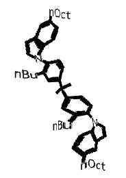 CCCCCCCCc1ccc2c(ccn2-c2ccc(C(C)(C)c3ccc(-n4ccc5cc(CCCCCCCC)ccc54)c(CCCC)c3)cc2CCCC)c1